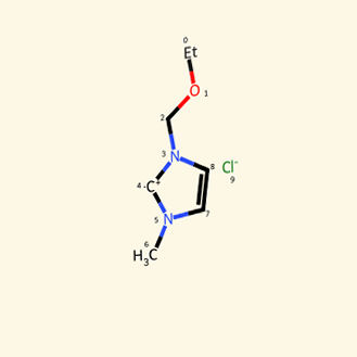 CCOCN1[C+]N(C)C=C1.[Cl-]